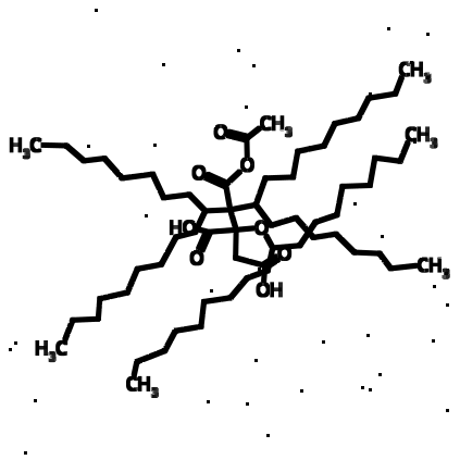 CCCCCCCCCC(CCCCCCCC)OC(CC(=O)O)(C(=O)O)C(C(=O)OC(C)=O)(C(CCCCCCCC)CCCCCCCCC)C(CCCCCCCC)CCCCCCCCC